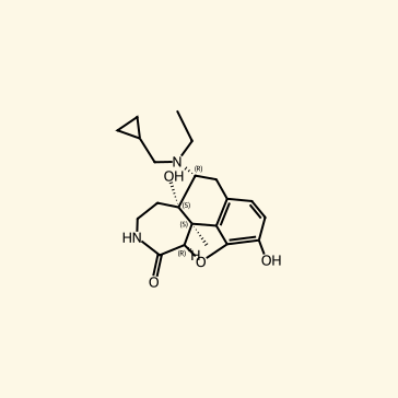 CCN(CC1CC1)[C@@H]1Cc2ccc(O)c3c2[C@@]2(C)[C@@H](O3)C(=O)NCC[C@@]12O